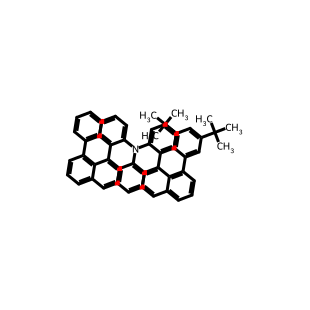 CC(C)(C)c1cc(-c2cccc3cccc(-c4ccccc4N(c4ccccc4)c4ccccc4-c4cccc5cccc(-c6ccccc6)c45)c23)cc(C(C)(C)C)c1